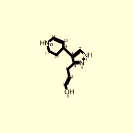 OC=CCc1n[nH]cc1C1C=CNCC1